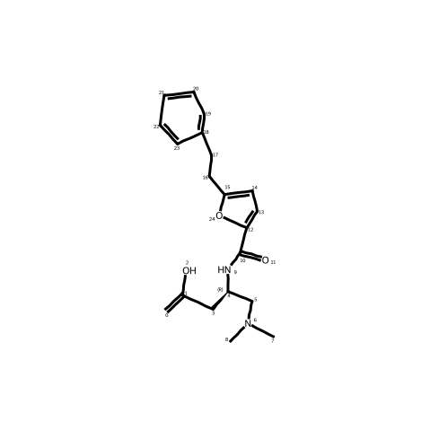 C=C(O)C[C@H](CN(C)C)NC(=O)c1ccc(CCc2ccccc2)o1